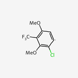 COc1c[c]c(Cl)c(OC)c1C(F)(F)F